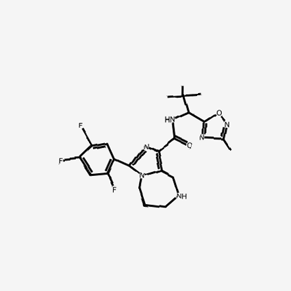 Cc1noc(C(NC(=O)c2nc(-c3cc(F)c(F)cc3F)n3c2CNCCC3)C(C)(C)C)n1